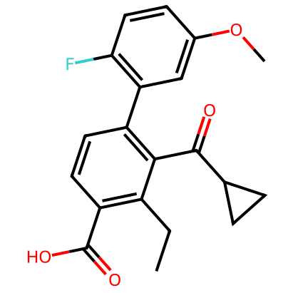 CCc1c(C(=O)O)ccc(-c2cc(OC)ccc2F)c1C(=O)C1CC1